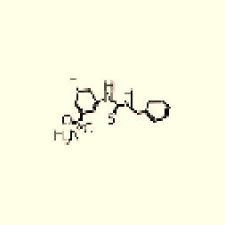 NS(=O)(=O)c1cc(F)cc(NC(=S)NCc2ccccc2)c1